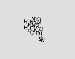 C[C@@H](NC(=O)c1c(N)ncc2cccnc12)c1cc2cccc(C#Cc3cncs3)c2c(=O)n1-c1ccccc1